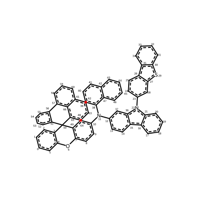 c1ccc2c(c1)Oc1ccc(N(c3ccc4c5ccccc5n(-c5ccc6c(c5)sc5ccccc56)c4c3)c3cccc4ccccc34)cc1C21c2ccccc2-c2cccc3cccc1c23